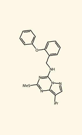 CSc1nc(NCc2ccccc2Oc2ccccc2)n2ncc(C(C)C)c2n1